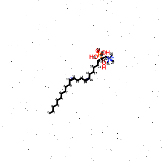 CCCCCCCCCC/C=C\CC/C=C\CCCCCC(O)(C[N+](C)(C)C)P(=O)(O)O